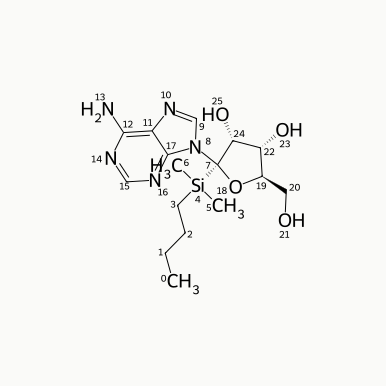 CCCC[Si](C)(C)[C@@]1(n2cnc3c(N)ncnc32)O[C@H](CO)[C@@H](O)[C@H]1O